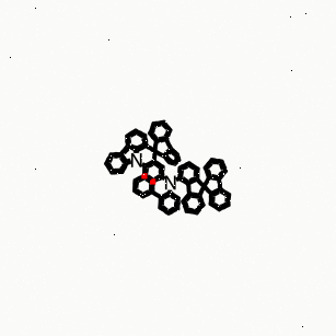 c1ccc(-c2ccccc2N(c2ccc3c(c2)C2(c4ccccc4-c4ccccc42)c2cccc4c5ccccc5n-3c24)c2cccc3c2-c2ccccc2C32c3ccccc3-c3ccccc32)cc1